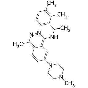 Cc1cccc([C@@H](C)Nc2nnc(C)c3ccc(N4CCN(C)CC4)cc23)c1C